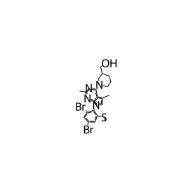 CSc1cc(Br)cc(Br)c1-n1cc(C)c2c(N3CCCC(CO)C3)nc(C)nc21